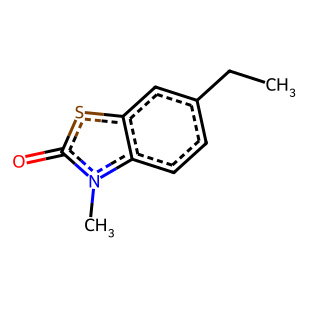 CCc1ccc2c(c1)sc(=O)n2C